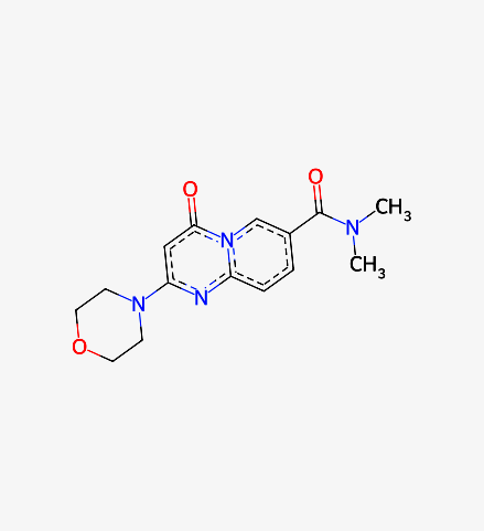 CN(C)C(=O)c1ccc2nc(N3CCOCC3)cc(=O)n2c1